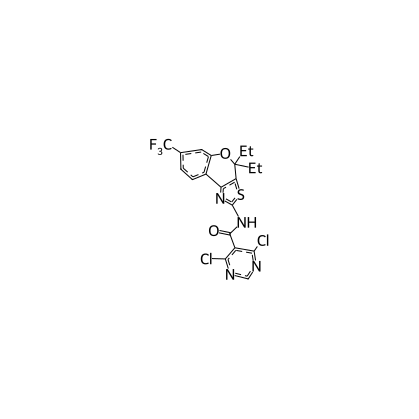 CCC1(CC)Oc2cc(C(F)(F)F)ccc2-c2nc(NC(=O)c3c(Cl)ncnc3Cl)sc21